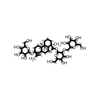 C=C1C[C@@]23CCC4[C@](C)(C(=O)OC5OC(CO)C(O)C(O)C5OCC5OC(CO)C(O)C(O)C5O)CCC[C@@]4(C)[C@@H]2CCC1(OC1OC(CO)C(O)C(O)C1O)C3